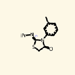 Cc1cccc(N2C(=O)CS/C2=N\C(C)C)c1